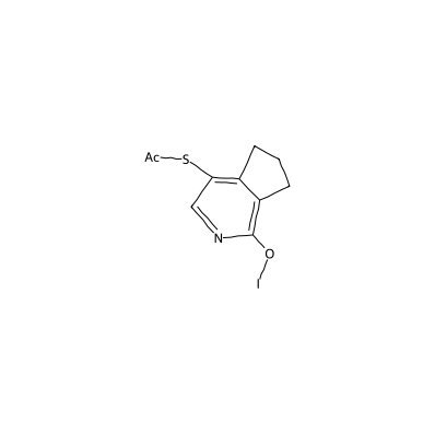 CC(=O)Sc1cnc(OI)c2c1CCC2